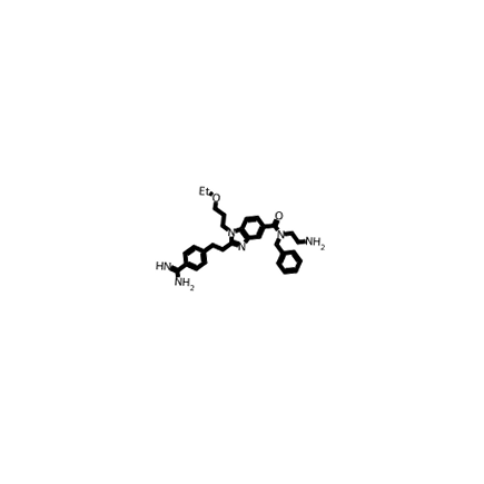 CCOCCCn1c(CCc2ccc(C(=N)N)cc2)nc2cc(C(=O)N(CCN)Cc3ccccc3)ccc21